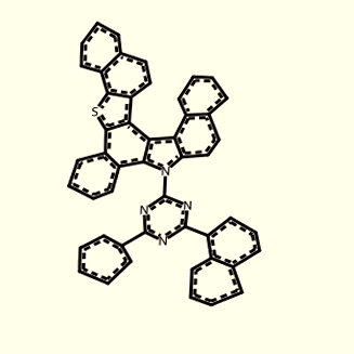 c1ccc(-c2nc(-c3cccc4ccccc34)nc(-n3c4ccc5ccccc5c4c4c5c6ccc7ccccc7c6sc5c5ccccc5c43)n2)cc1